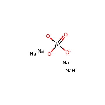 O=[As]([O-])([O-])[O-].[Na+].[Na+].[Na+].[NaH]